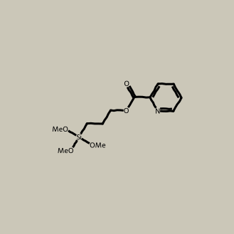 CO[Si](CCCOC(=O)c1ccccn1)(OC)OC